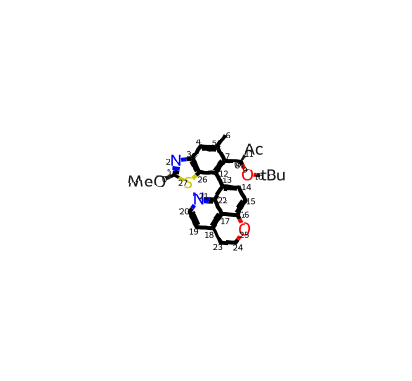 COc1nc2cc(C)c([C@H](OC(C)(C)C)C(C)=O)c(-c3ccc4c5c(ccnc35)CCO4)c2s1